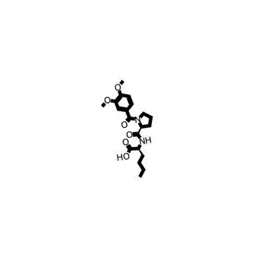 CCCC[C@H](NC(=O)[C@@H]1CCCN1C(=O)c1ccc(OC)c(OC)c1)C(=O)O